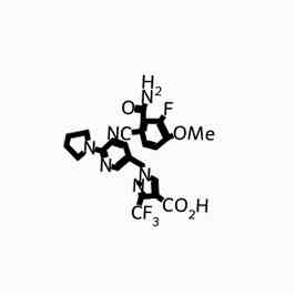 COc1ccc(C#N)c(C(N)=O)c1F.O=C(O)c1cn(Cc2ccc(N3CCCC3)nc2)nc1C(F)(F)F